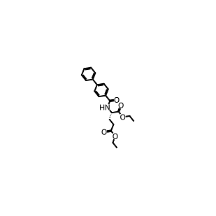 CCOC(=O)CC[C@H](NC(=O)c1ccc(-c2ccccc2)cc1)C(=O)OCC